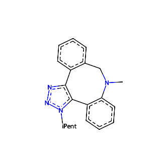 CCCC(C)n1nnc2c1-c1ccccc1N(C)Cc1ccccc1-2